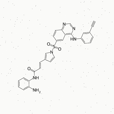 C#Cc1cccc(Nc2ncnc3ccc(S(=O)(=O)n4ccc(/C=C/C(=O)Nc5ccccc5N)c4)cc23)c1